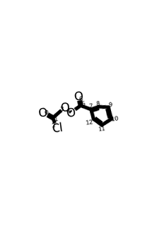 O=C(Cl)OOC(=O)c1ccccc1